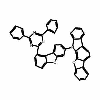 c1ccc(-c2nc(-c3ccccc3)nc(-c3cccc4oc5cc(-n6c7ccccc7c7ccc8c9ccccc9oc8c76)ccc5c34)n2)cc1